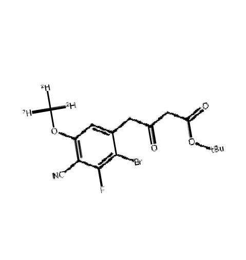 [2H]C([2H])([2H])Oc1cc(CC(=O)CC(=O)OC(C)(C)C)c(Br)c(F)c1C#N